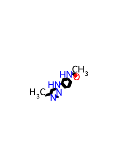 CCc1cc(Nc2cccc(NC(C)=O)c2)ncn1